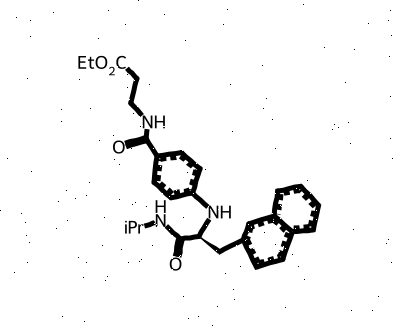 CCOC(=O)CCNC(=O)c1ccc(N[C@@H](Cc2ccc3ccccc3c2)C(=O)NC(C)C)cc1